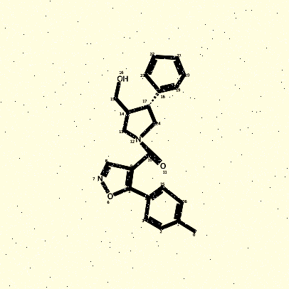 Cc1ccc(-c2oncc2C(=O)N2CC(CO)[C@H](c3ccccc3)C2)cc1